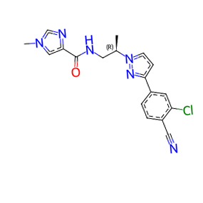 C[C@H](CNC(=O)c1cn(C)cn1)n1ccc(-c2ccc(C#N)c(Cl)c2)n1